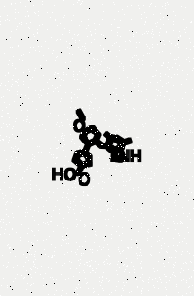 CCOC1CCC(Cc2c(C)cc(C)c3[nH]ccc23)C(c2ccc(C(=O)O)cc2)C1